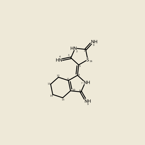 N=C1NC(=N)C(=C2NC(=N)C3=C2CCCC3)S1